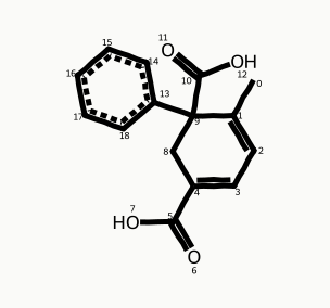 CC1=CC=C(C(=O)O)CC1(C(=O)O)c1ccccc1